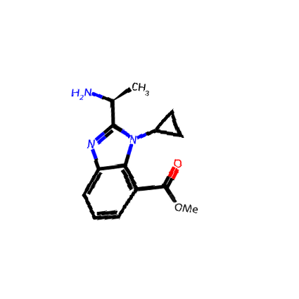 COC(=O)c1cccc2nc([C@H](C)N)n(C3CC3)c12